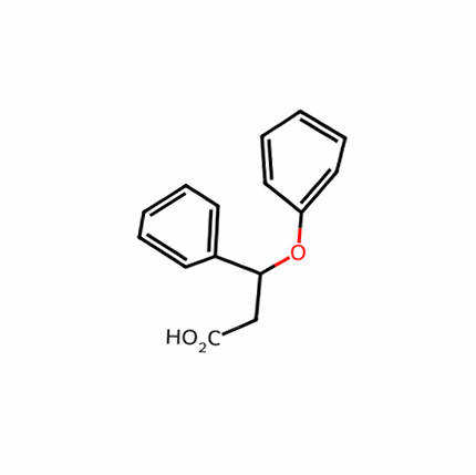 O=C(O)CC(Oc1ccccc1)c1ccccc1